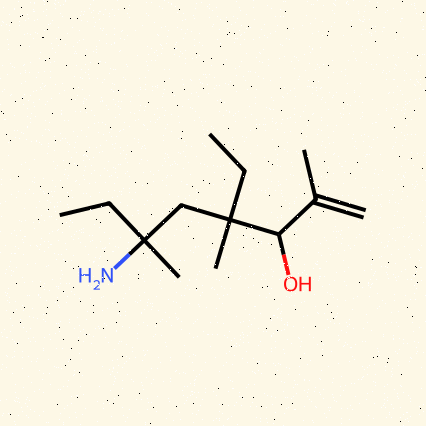 C=C(C)C(O)C(C)(CC)CC(C)(N)CC